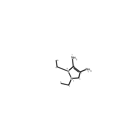 CCN1CC(N)=C(N)N1CC